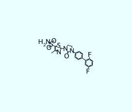 Cc1nc(N2CCN(c3ccc(-c4cc(F)ccc4F)cc3)C2=O)sc1S(N)(=O)=O